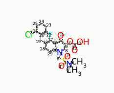 CN(C)S(=O)(=O)Cn1cc(OC(=O)O)c(=O)c2cc(Cc3c(F)cccc3Cl)ccc21